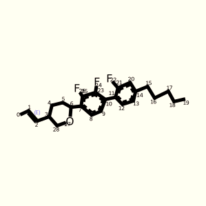 C/C=C/C1CCC(c2ccc(-c3ccc(CCCCC)cc3F)c(F)c2F)OC1